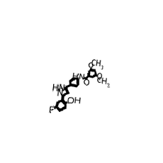 COc1cc(OC)cc(C(=O)Nc2ccc(-c3cc(-c4cc(F)ccc4O)n[nH]3)cc2)c1